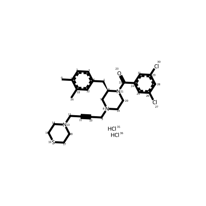 Cc1ccc(C[C@@H]2CN(CC#CCN3CCSCC3)CCN2C(=O)c2cc(Cl)cc(Cl)c2)cc1C.Cl.Cl